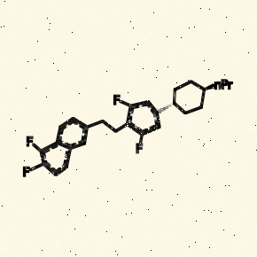 CCC[C@H]1CC[C@H](c2cc(F)c(CCc3ccc4c(F)c(F)ccc4c3)c(F)c2)CC1